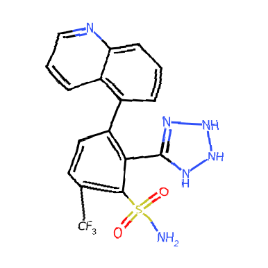 NS(=O)(=O)c1c(C(F)(F)F)ccc(-c2cccc3ncccc23)c1C1=NNNN1